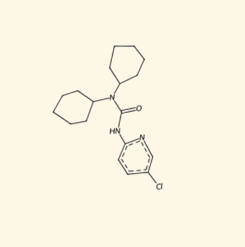 O=C(Nc1ccc(Cl)cn1)N(C1CCCCC1)C1CCCCC1